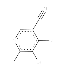 Cc1ncc(C#N)c(N)c1Br